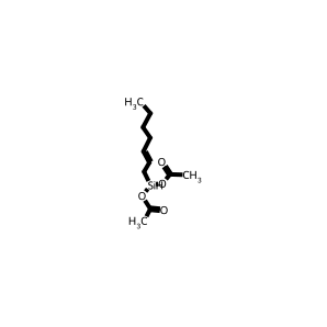 CCCCC=CC[SiH](OC(C)=O)OC(C)=O